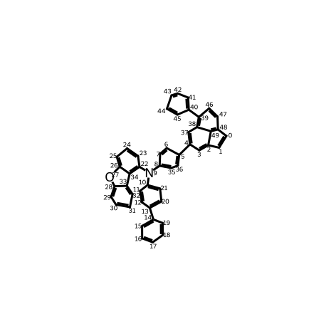 C1=Cc2cc(-c3ccc(N(c4ccc(-c5ccccc5)cc4)c4cccc5oc6ccccc6c45)cc3)cc3c(-c4ccccc4)ccc1c23